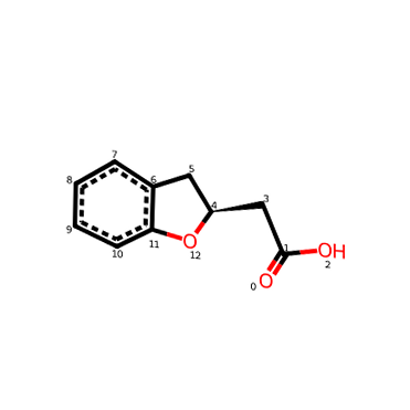 O=C(O)C[C@@H]1Cc2ccccc2O1